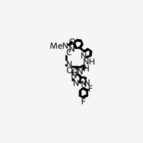 CNC(=O)N1CCCN(C)C(=O)[C@@H]2C[C@@H](CN2c2ncnc3c2cnn3-c2ccc(F)cc2F)Nc2cccc(n2)-c2ccccc21